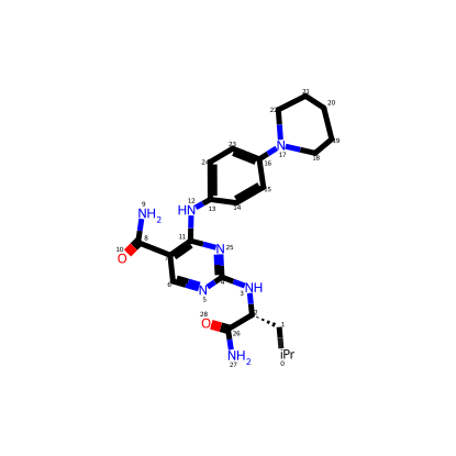 CC(C)C[C@@H](Nc1ncc(C(N)=O)c(Nc2ccc(N3CCCCC3)cc2)n1)C(N)=O